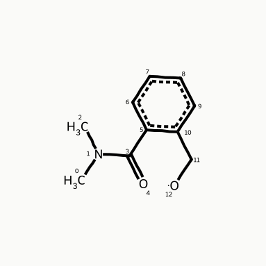 CN(C)C(=O)c1ccccc1C[O]